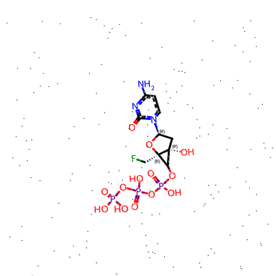 Nc1ccn([C@H]2C[C@@]3(O)C(OP(=O)(O)OP(=O)(O)OP(=O)(O)O)[C@@]3(CF)O2)c(=O)n1